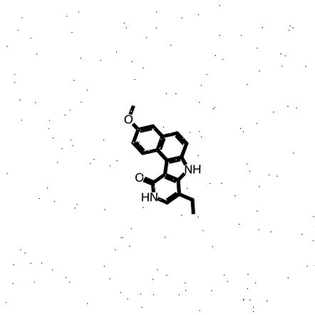 CCc1c[nH]c(=O)c2c1[nH]c1ccc3cc(OC)ccc3c12